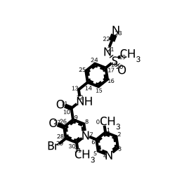 Cc1ccncc1-n1cc(C(=O)NCc2ccc(S(C)(=O)=NC#N)cc2)c(=O)c(Br)c1C